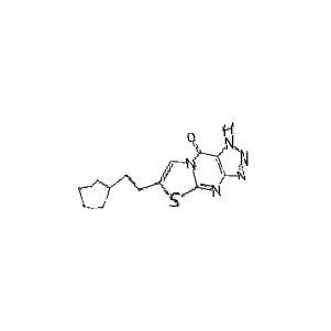 O=c1c2[nH]nnc2nc2sc(CCC3CCCC3)cn12